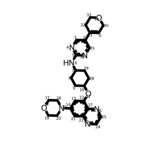 C1=C(c2cnc(NC3CCC(Oc4cc(N5CCOCC5)cc5nccnc45)CC3)nc2)CCOC1